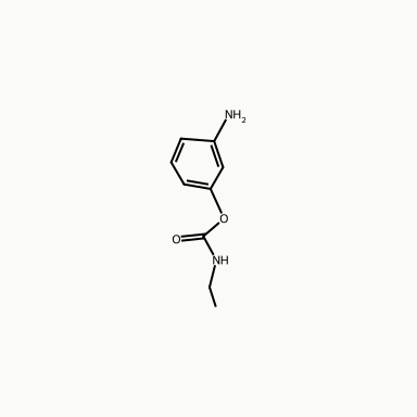 CCNC(=O)Oc1cccc(N)c1